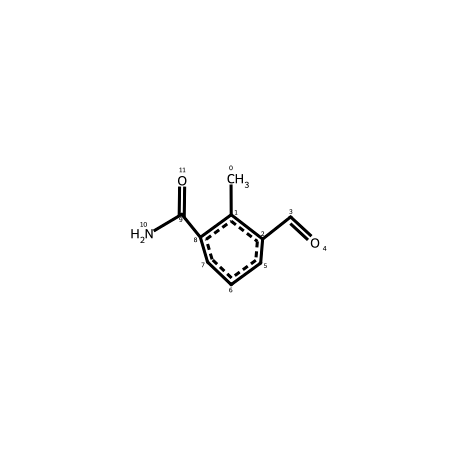 Cc1c(C=O)cccc1C(N)=O